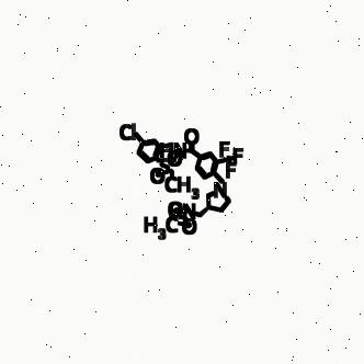 CCS(=O)(=O)c1ccc(Cl)cc1CNC(=O)c1ccc(CN2CC[C@@H](CNS(C)(=O)=O)C2)c(C(F)(F)F)c1